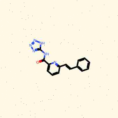 O=C(Nc1nnn[nH]1)c1cccc(/C=C/c2ccccc2)n1